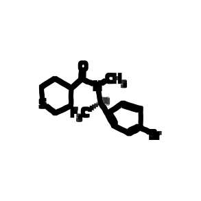 CN(C(=O)C1CCSCC1)[C@H](c1ccc(Br)cc1)C(F)(F)F